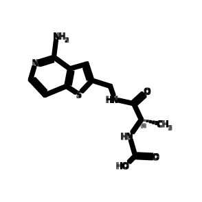 C[C@H](NC(=O)O)C(=O)NCc1cc2c(N)nccc2s1